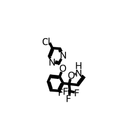 Fc1cccc(Oc2ncc(Cl)cn2)c1C1(C(F)(F)F)C=CNO1